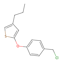 CCCc1csc(Oc2ccc(CCl)cc2)c1